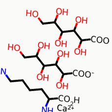 NCCCCC(N)C(=O)O.O=C([O-])C(O)C(O)C(O)C(O)CO.O=C([O-])C(O)C(O)C(O)C(O)CO.[Ca+2]